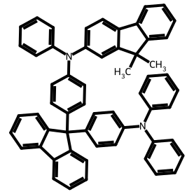 CC1(C)c2ccccc2-c2ccc(N(c3ccccc3)c3ccc(C4(c5ccc(N(c6ccccc6)c6ccccc6)cc5)c5ccccc5-c5ccccc54)cc3)cc21